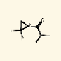 CC(C)C(=O)[C@@H]1CC1(F)F